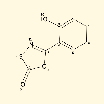 O=c1oc(-c2ccccc2O)ns1